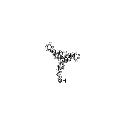 CC(C)C[C@H](NC(=O)N1CCCCCC1)C(=O)N[C@@H](Cc1ccc(OCc2ccccc2)cc1)C(=O)N1CCN(CCOCCO)CC1